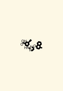 C#Cc1cc(Nc2nccc(Oc3ccc(C)c4ccccc34)n2)cc(C(=O)O)c1